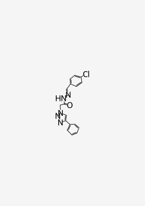 O=C(Cn1cc(-c2ccccc2)nn1)NN=Cc1ccc(Cl)cc1